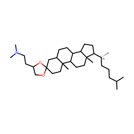 CC(C)CCC[C@@H](C)C1CCC2C3CCC4CC5(CCC4(C)C3CCC21C)OCC(CCN(C)C)O5